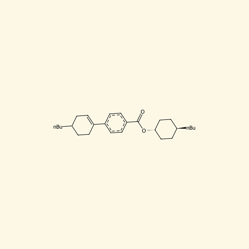 CCCCC1CC=C(c2ccc(C(=O)O[C@H]3CC[C@H](CCCC)CC3)cc2)CC1